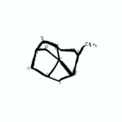 ClC1[C]2CC3CC(C2)CC1C3